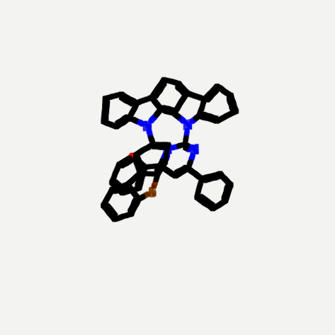 c1ccc(-c2cc(-c3ccccc3)nc(-n3c4ccccc4c4ccc5c6ccccc6n(-c6ccc7sc8ccccc8c7c6)c5c43)n2)cc1